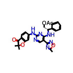 CC(=O)OC[C@@H](Nc1nc(Nc2ccc3c(c2)OC(C)(C)C3=O)ncc1-c1noc(C)n1)c1ccccc1